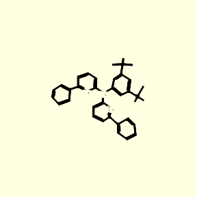 CC(C)(C)c1cc(N(c2cccc(-c3ccccc3)n2)c2cccc(-c3ccccc3)n2)cc(C(C)(C)C)c1